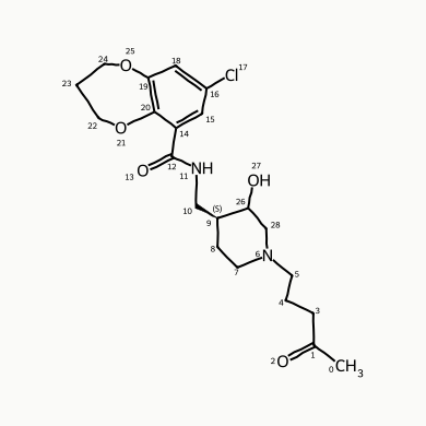 CC(=O)CCCN1CC[C@@H](CNC(=O)c2cc(Cl)cc3c2OCCCO3)C(O)C1